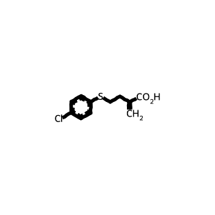 C=C(CCSc1ccc(Cl)cc1)C(=O)O